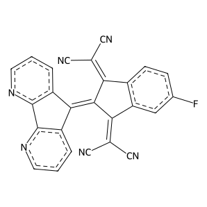 N#CC(C#N)=C1C(=C2c3cccnc3-c3ncccc32)C(=C(C#N)C#N)c2cc(F)ccc21